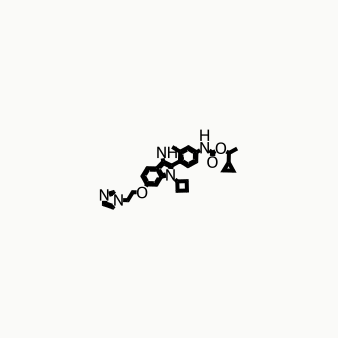 Cc1cc(NC(=O)OC(C)C2CC2)ccc1-c1c(N)c2ccc(OCCn3ccnc3)cc2n1C1CCC1